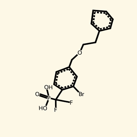 O=P(O)(O)C(F)(F)c1ccc(COCCc2ccccc2)cc1Br